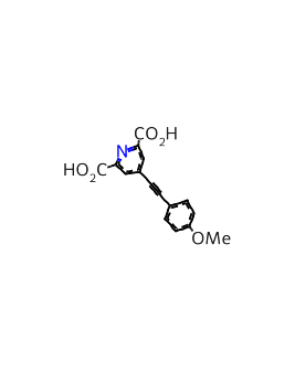 COc1ccc(C#Cc2cc(C(=O)O)nc(C(=O)O)c2)cc1